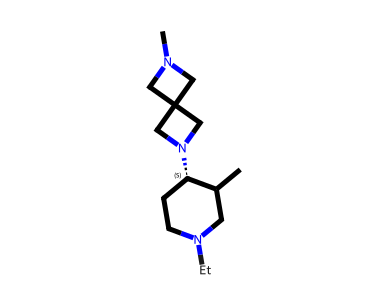 CCN1CC[C@H](N2CC3(CN(C)C3)C2)C(C)C1